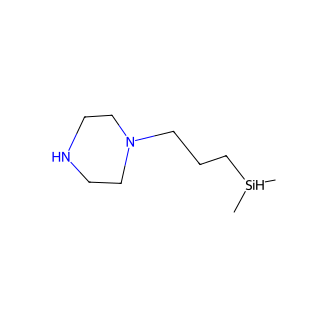 C[SiH](C)CCCN1CCNCC1